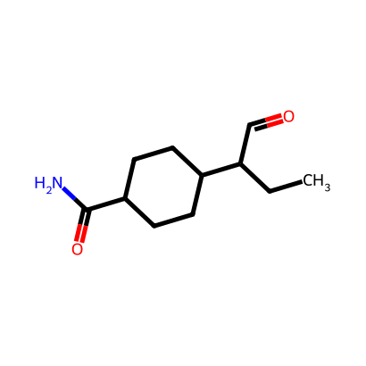 CCC(C=O)C1CCC(C(N)=O)CC1